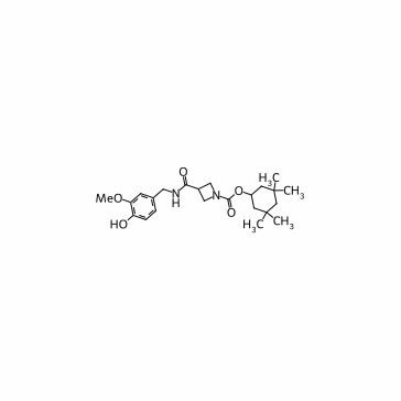 COc1cc(CNC(=O)C2CN(C(=O)OC3CC(C)(C)CC(C)(C)C3)C2)ccc1O